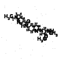 CCn1ccc2cc(C(=O)N[C@H]3CCc4nc(N5C[C@H](NC)[C@@H](OC)C5)ccc4C3)cnc21